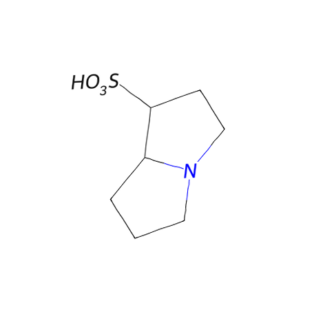 O=S(=O)(O)C1CCN2CCCC12